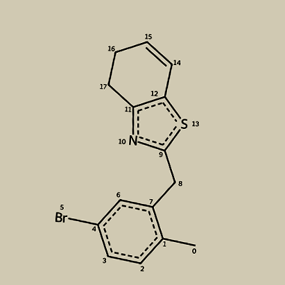 Cc1ccc(Br)cc1Cc1nc2c(s1)C=CCC2